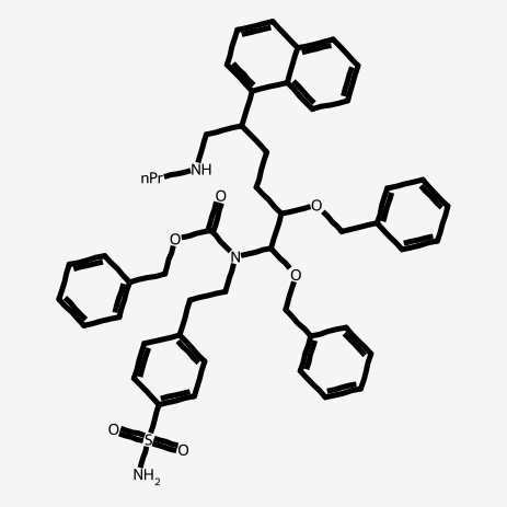 CCCNCC(CCC(OCc1ccccc1)C(OCc1ccccc1)N(CCc1ccc(S(N)(=O)=O)cc1)C(=O)OCc1ccccc1)c1cccc2ccccc12